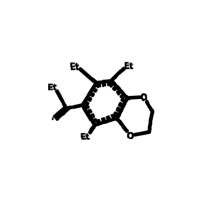 [C]=C(CC)c1c(CC)c(CC)c2c(c1CC)OCCO2